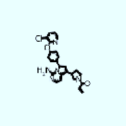 C=CC(=O)N1CCC(c2cc(-c3ccc(Oc4ncccc4Cl)cc3)n3c(N)nccc23)C1